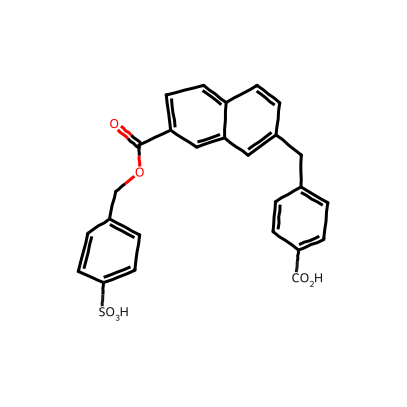 O=C(O)c1ccc(Cc2ccc3ccc(C(=O)OCc4ccc(S(=O)(=O)O)cc4)cc3c2)cc1